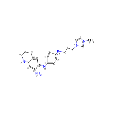 C[n+]1ccn(CCCNc2ccc(N=C3C=C4CCCN=C4C=C3N)cc2)c1